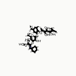 COC(=O)C1CC(C)C(OC(C)C(O)C(O)C(O)C(C)C)C(OC2OC(CO)C(O)C(O/C(=C\C3CCCCC3)C(=O)OO)C2O)C1